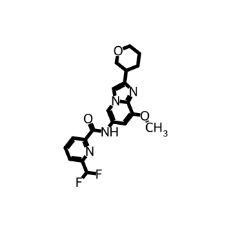 COc1cc(NC(=O)c2cccc(C(F)F)n2)cn2cc(C3CCCOC3)nc12